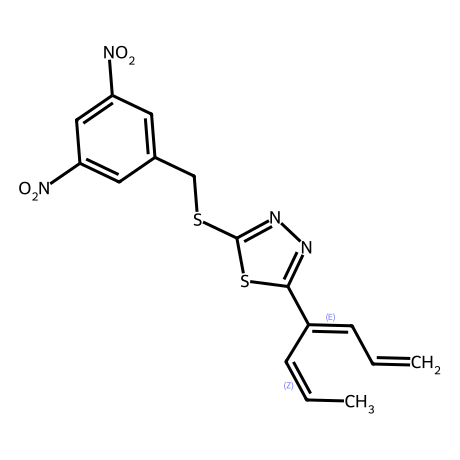 C=C/C=C(\C=C/C)c1nnc(SCc2cc([N+](=O)[O-])cc([N+](=O)[O-])c2)s1